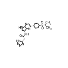 CC(C)S(=O)(=O)c1ccc(-c2cnc3[nH]cc(NC(=O)Cc4nnn[nH]4)c3n2)cc1